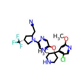 COc1cc([C@@]2(Oc3cnc(N4C[C@H](C(F)(F)F)CC4CC#N)cn3)CCNC[C@H]2C)c(Cl)cn1